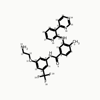 Cc1ccc(C(=O)Nc2cc(OCCN)cc(C(F)(F)F)c2)cc1Nc1ncccc1-c1ccncn1